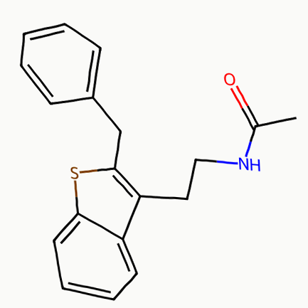 CC(=O)NCCc1c(Cc2ccccc2)sc2ccccc12